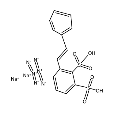 O=S(=O)(O)c1cccc(C=Cc2ccccc2)c1S(=O)(=O)O.[N-]=[N+]=[N-].[N-]=[N+]=[N-].[Na+].[Na+]